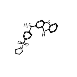 C=C(c1ccc(S(=O)(=O)N2CCCC2)cc1)c1ccc2c(c1)Nc1ccccc1S2